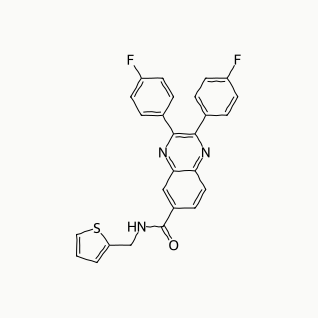 O=C(NCc1cccs1)c1ccc2nc(-c3ccc(F)cc3)c(-c3ccc(F)cc3)nc2c1